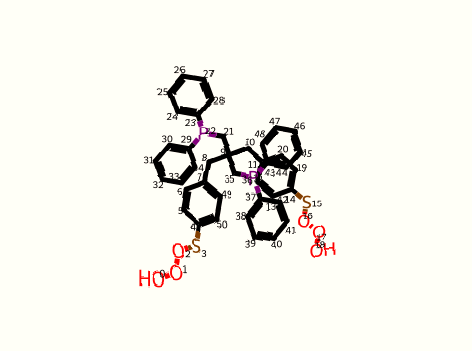 OOOSc1ccc(CC(Cc2ccc(SOOO)cc2)(CP(c2ccccc2)c2ccccc2)CP(c2ccccc2)c2ccccc2)cc1